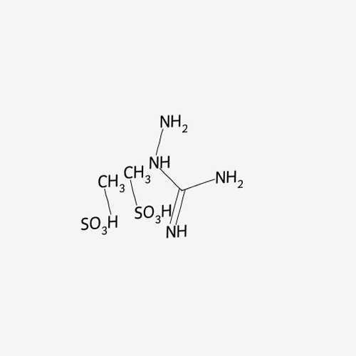 CS(=O)(=O)O.CS(=O)(=O)O.N=C(N)NN